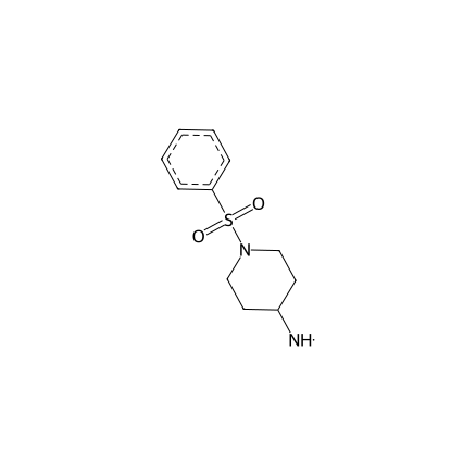 [NH]C1CCN(S(=O)(=O)c2ccccc2)CC1